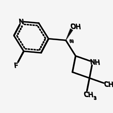 CC1(C)CC([C@@H](O)c2cncc(F)c2)N1